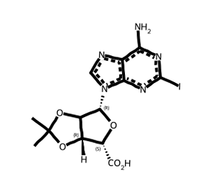 CC1(C)OC2[C@@H](O1)[C@@H](C(=O)O)O[C@H]2n1cnc2c(N)nc(I)nc21